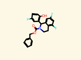 O=C(OCc1ccccc1)N1CCc2c(F)cc(F)cc2C1c1cc(F)ccc1O